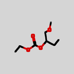 CCOC(=O)OC(CC)COC